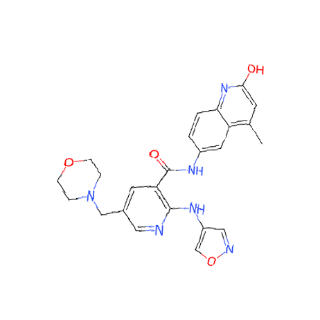 Cc1cc(O)nc2ccc(NC(=O)c3cc(CN4CCOCC4)cnc3Nc3cnoc3)cc12